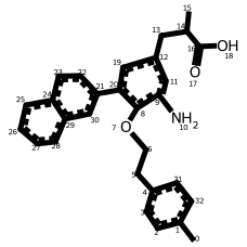 Cc1ccc(CCOc2c(N)cc(CC(C)C(=O)O)cc2-c2ccc3ccccc3c2)cc1